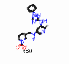 Cc1ncc(NCC2CCCN(C(=O)OC(C)(C)C)C2)cc1Nc1ncn(-c2ccccc2)n1